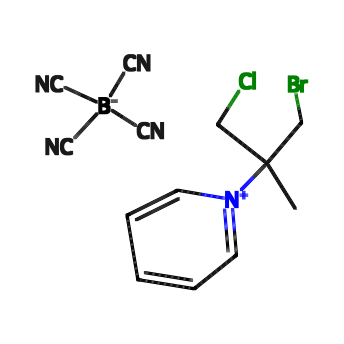 CC(CCl)(CBr)[n+]1ccccc1.N#C[B-](C#N)(C#N)C#N